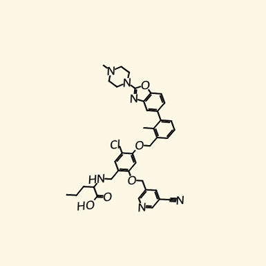 CCCC(NCc1cc(Cl)c(OCc2cccc(-c3ccc4oc(N5CCN(C)CC5)nc4c3)c2C)cc1OCc1cncc(C#N)c1)C(=O)O